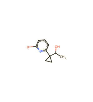 CC(O)C1(c2cccc(Br)n2)CC1